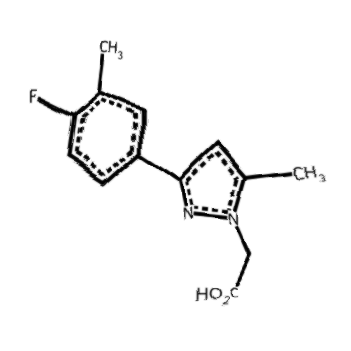 Cc1cc(-c2cc(C)n(CC(=O)O)n2)ccc1F